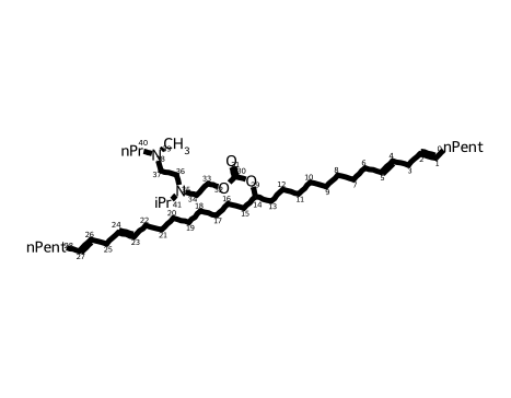 CCCCCC=CCC=CCCCCCCCCC(CCCCCCCCC=CCC=CCCCCC)OC(=O)OCCN(CCN(C)CCC)C(C)C